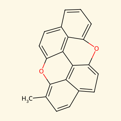 Cc1ccc2ccc3oc4cccc5ccc6oc1c2c3-c6c54